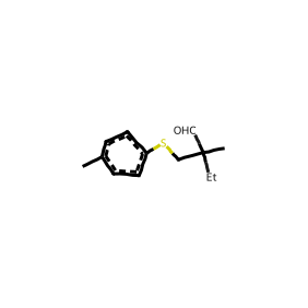 CCC(C)(C=O)CSc1ccc(C)cc1